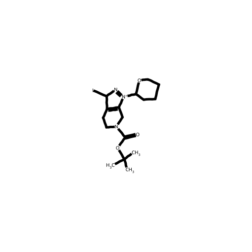 CC(C)(C)OC(=O)N1CCC2=C(C1)[N+](C1CCCCO1)=NC2I